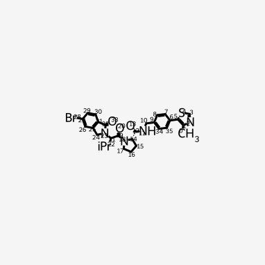 Cc1ncsc1-c1ccc(CNC(=O)[C@@H]2CCCN2C(=O)C(C(C)C)N2Cc3cc(Br)ccc3C2=O)cc1